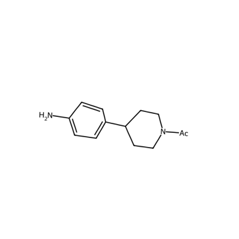 CC(=O)N1CCC(c2ccc(N)cc2)CC1